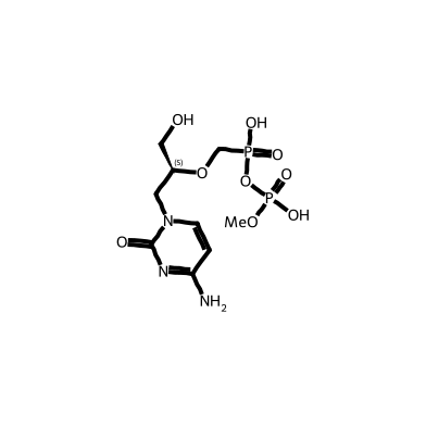 COP(=O)(O)OP(=O)(O)CO[C@H](CO)Cn1ccc(N)nc1=O